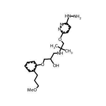 COCCCc1ccccc1OCC(O)CNC(C)(C)COc1ccc(NN)nn1